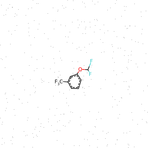 FC(F)Oc1[c]ccc(C(F)(F)F)c1